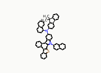 CC1(C)c2ccccc2-c2ccc(N(c3ccc4c(c3)c3c5ccccc5c5c6ccccc6sc5c3n4-c3ccc4ccccc4c3)c3cccc4ccccc34)cc21